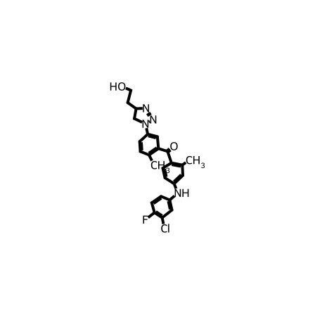 Cc1cc(Nc2ccc(F)c(Cl)c2)ccc1C(=O)c1cc(N2CC(CCO)N=N2)ccc1C